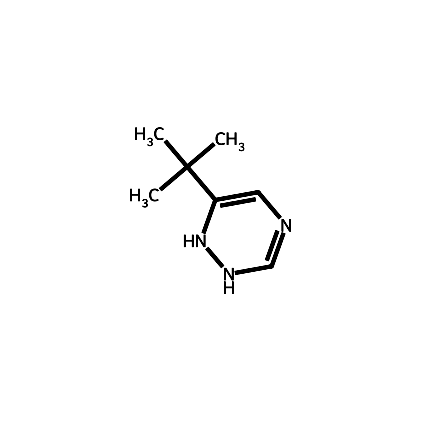 CC(C)(C)C1=CN=CNN1